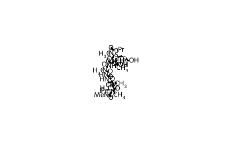 CCCC(=O)N(C)[C@H](SCCSCCO)C(=O)N(C)[C@@H](CC(C)(C)O)C(=O)NC(=O)N(C)C(=O)NC(=O)N[C@@H](C)C(=O)N(C)C(C)C(=O)N(C)[C@@H](CC(C)C)C(=O)NC